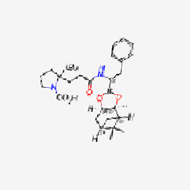 CC1(C)[C@@H]2C[C@H]3OB([C@H](Cc4ccccc4)NC(=O)CCC4(C(C)(C)C)CCCN4C(=O)O)O[C@@]3(C)[C@H]1C2